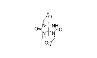 CC12NC(=O)N(CC3CO3)C1(C)NC(=O)N2CC1CO1